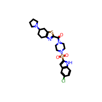 O=C(c1nc2c(s1)CC(N1CCCC1)CC2)N1CCN(S(=O)(=O)c2cc3cc(Cl)ccc3[nH]2)CC1